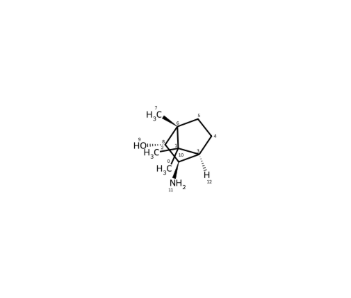 CC1(C)[C@H]2CC[C@@]1(C)[C@@H](O)[C@@H]2N